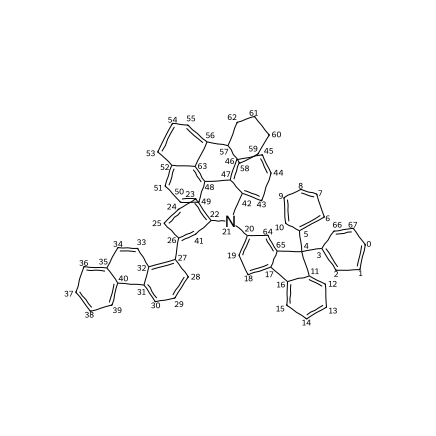 c1ccc(C2(c3ccccc3)c3ccccc3-c3ccc(N(c4cccc(-c5cccc6c5ccc5ccccc56)c4)c4ccccc4-c4cccc5cccc(C6CCCCC6)c45)cc32)cc1